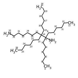 CCCCCCC(N)(CCCCCC)C(CCCCCC)(CCCCCC)CCCCCCN